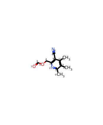 Cc1nc(COC=O)c(C#N)c(C)c1C